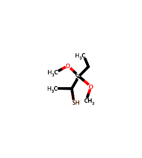 CC[Si](OC)(OC)C(C)S